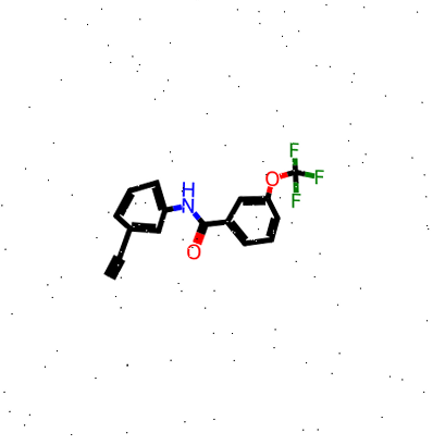 C#Cc1cccc(NC(=O)c2cccc(OC(F)(F)F)c2)c1